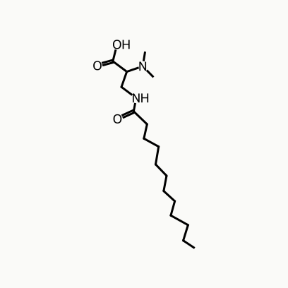 CCCCCCCCCCCC(=O)NCC(C(=O)O)N(C)C